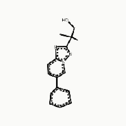 CC(C)(CO)c1nc2ccc(-c3ccccc3)cn2n1